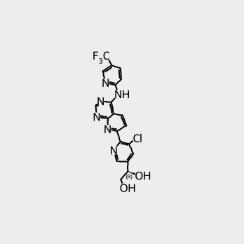 OC[C@H](O)c1cnc(-c2ccc3c(Nc4ccc(C(F)(F)F)cn4)ncnc3n2)c(Cl)c1